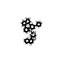 c1ccc(-c2cc3c4c5c(cccc5n(-c5ncc6oc7ccc8ccccc8c7c6n5)c4c2)-c2cccc4cccc-3c24)cc1